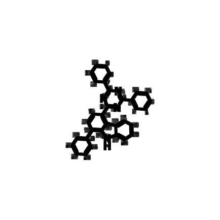 c1ccc(-c2nc(-c3ccccc3)nc(-c3ccc(-c4ccccc4)c4[nH]c5ccccc5c34)n2)cc1